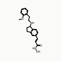 COc1ccccc1CCNC1CCc2cc(C=CC(=O)NO)ccc21